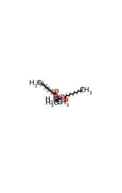 CCCCCCCCCC(=O)OCC(COC(=O)CCCCCCCCC)C(C)(C)C